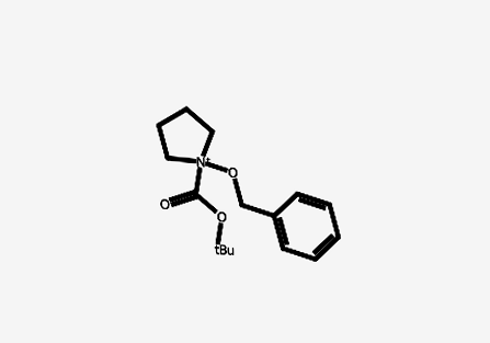 CC(C)(C)OC(=O)[N+]1(OCc2ccccc2)CCCC1